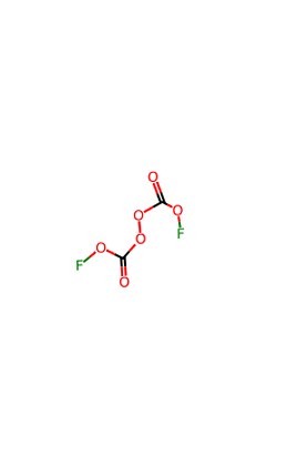 O=C(OF)OOC(=O)OF